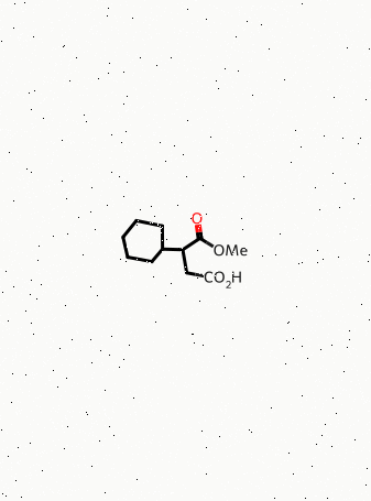 COC(=O)C(CC(=O)O)C1CCCCC1